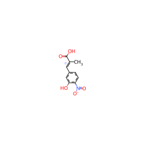 C/C(=C\c1ccc([N+](=O)[O-])c(O)c1)C(=O)O